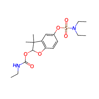 CCNC(=O)OC1Oc2ccc(OS(=O)(=O)N(CC)CC)cc2C1(C)C